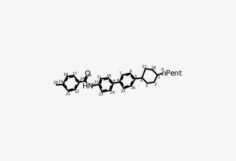 CCCCCC1CCC(c2ccc(-c3ccc(NC(=O)c4ccc(C)cc4)cc3)cc2)CC1